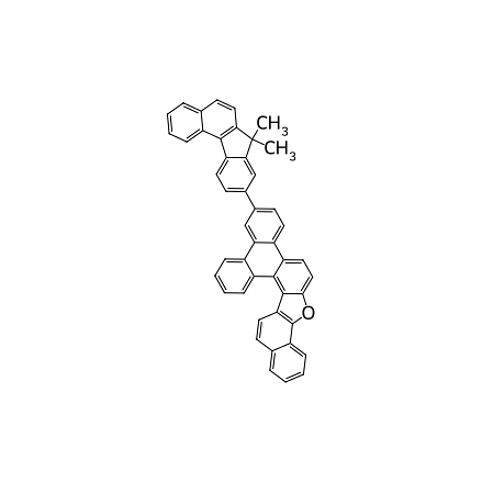 CC1(C)c2cc(-c3ccc4c(c3)c3ccccc3c3c4ccc4oc5c6ccccc6ccc5c43)ccc2-c2c1ccc1ccccc21